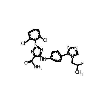 CC(F)Cn1cnnc1-c1ccc(Nc2nn(-c3c(Cl)cccc3Cl)nc2C(N)=O)cc1